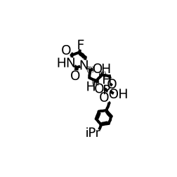 CC(C)c1ccc(CO[PH]2(O)OC[C@H]3O[C@@H](n4cc(F)c(=O)[nH]c4=O)C[C@@H]3O2)cc1